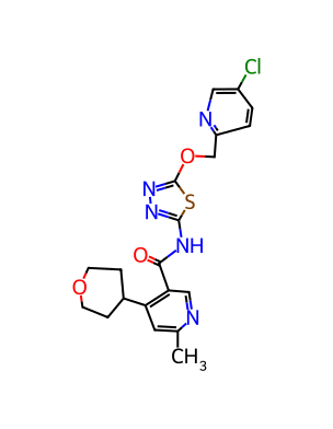 Cc1cc(C2CCOCC2)c(C(=O)Nc2nnc(OCc3ccc(Cl)cn3)s2)cn1